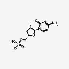 C[C@H]1C[C@@H](COP(=O)(O)S)O[C@H]1n1ccc(N)nc1=O